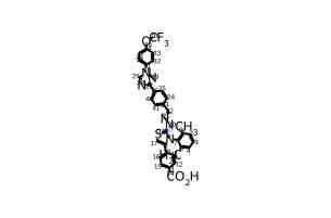 Cc1cccc(C)c1-n1c(-c2ccc(C(=O)O)cc2)cs/c1=N\N=Cc1ccc(-c2ncn(-c3ccc(OC(F)(F)F)cc3)n2)cc1